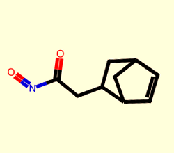 O=NC(=O)CC1CC2C=CC1C2